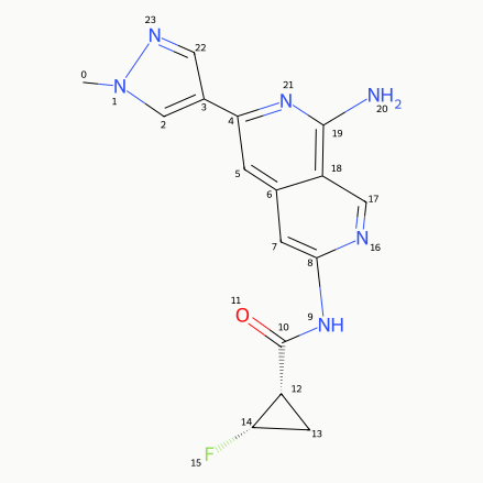 Cn1cc(-c2cc3cc(NC(=O)[C@@H]4C[C@@H]4F)ncc3c(N)n2)cn1